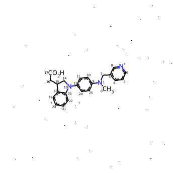 CN(Cc1cccnc1)c1ccc(N2CC(CC(=O)O)c3ccccc32)cc1